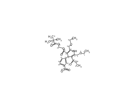 CCOCC1=C(C(=O)OC)C(c2cccc([N+](=O)[O-])c2)C(C(=O)OCOC(=O)C(C)(C)C)=C(COCC)N1